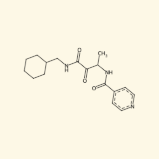 CC(NC(=O)c1ccncc1)C(=O)C(=O)NCC1CCCCC1